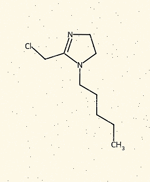 CCCCCN1CCN=C1CCl